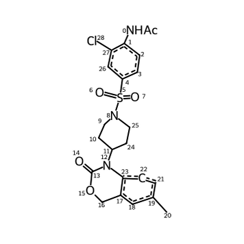 CC(=O)Nc1ccc(S(=O)(=O)N2CCC(N3C(=O)OCc4cc(C)ccc43)CC2)cc1Cl